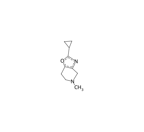 CN1CCc2oc(C3CC3)nc2C1